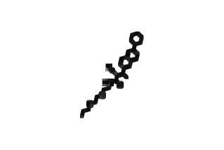 CCCOCCOCCNC(=O)/C(C#N)=C(\C)c1ccc2cc(C3CCCCC3)ccc2c1